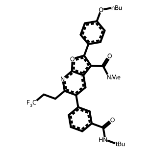 CCCCOc1ccc(-c2oc3nc(CCC(F)(F)F)c(-c4cccc(C(=O)NC(C)(C)C)c4)cc3c2C(=O)NC)cc1